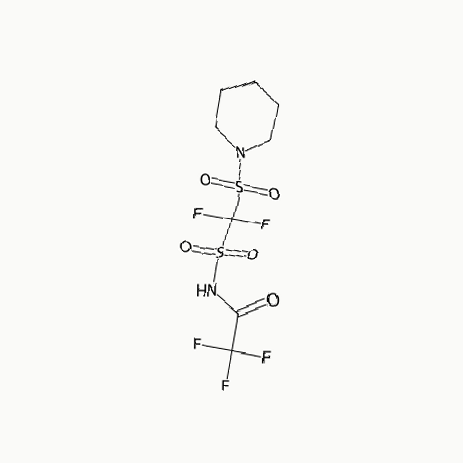 O=C(NS(=O)(=O)C(F)(F)S(=O)(=O)N1CCCCC1)C(F)(F)F